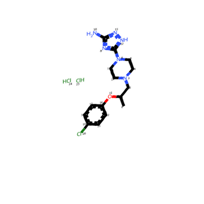 CC(CN1CCN(c2nc(N)n[nH]2)CC1)Oc1ccc(Cl)cc1.Cl.Cl